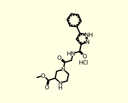 COC(=O)C1CN(C(=O)CNC(=O)c2cc(-c3ccccc3)[nH]n2)CCN1.Cl